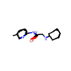 Cc1ccc(NC(=O)CNC2CCCCC2)nc1